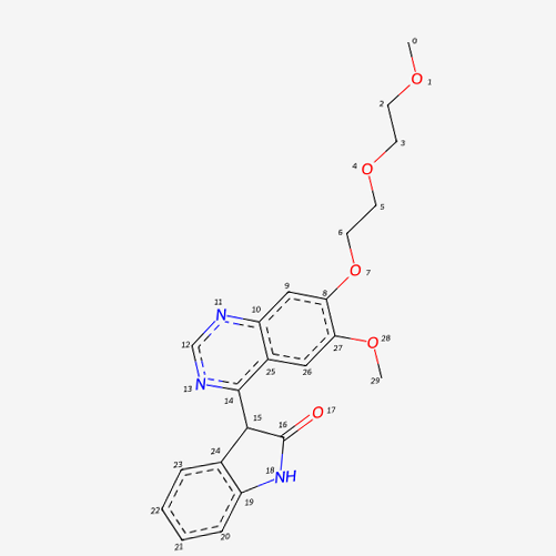 COCCOCCOc1cc2ncnc(C3C(=O)Nc4ccccc43)c2cc1OC